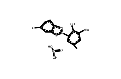 Cc1cc(-n2nc3ccc(Cl)cc3n2)c(O)c(C(C)(C)C)c1.O=[PH](O)O